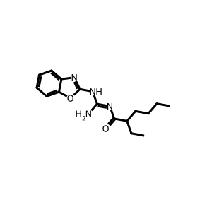 CCCCC(CC)C(=O)/N=C(\N)Nc1nc2ccccc2o1